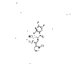 CCN1CCCC1N(C)/C=C(\C(=O)O)C(=O)c1cc(I)c(F)nc1F